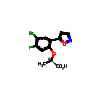 C[C@H](Oc1cc(F)c(Br)cc1-c1ccno1)C(=O)O